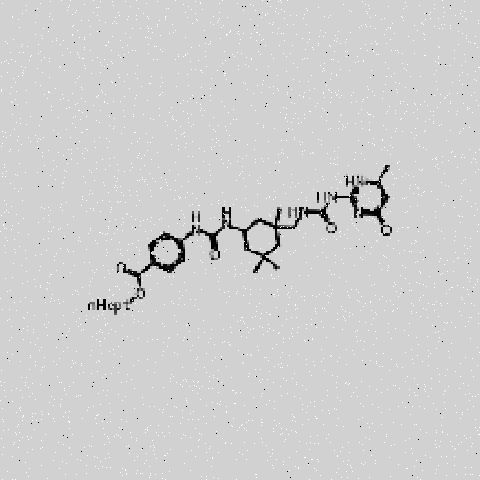 CCCCCCCOC(=O)c1ccc(NC(=O)NC2CC(C)(C)CC(C)(CNC(=O)Nc3nc(=O)cc(C)[nH]3)C2)cc1